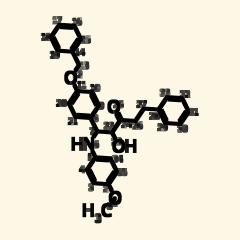 COc1ccc(NC(c2ccc(OCc3ccccc3)cc2)C(O)C(=O)CCc2ccccc2)cc1